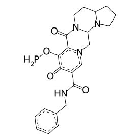 O=C(NCc1ccccc1)c1cn2c(c(OP)c1=O)C(=O)N1CCC3CCCN3C1C2